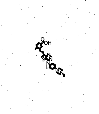 CCN1CCN(c2ccc(Nc3ncnc4c(CCc5cc(C(=O)O)ccc5C)csc34)cc2)CC1